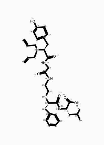 C=CCN(CC=C)[C@@H](Cc1ccc(O)cc1)C(=O)NCC(=O)NCCS[C@@H](Cc1ccccc1)C(=O)N[C@@H](CC(C)C)C(=O)O